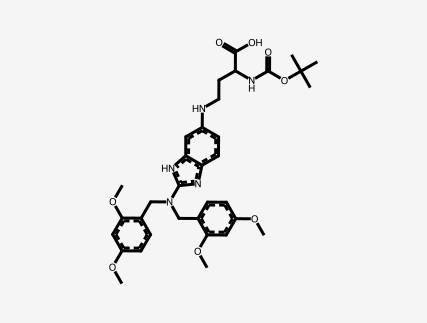 COc1ccc(CN(Cc2ccc(OC)cc2OC)c2nc3ccc(NCCC(NC(=O)OC(C)(C)C)C(=O)O)cc3[nH]2)c(OC)c1